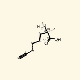 C#CCCCC[C@@](C)(N)C(=O)O